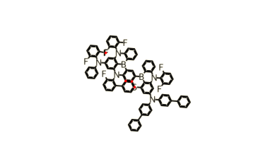 Fc1cccc(F)c1N(c1ccccc1)c1cc2c3c(c1)N(c1c(F)cccc1-c1ccccc1)c1cc4c(cc1B3c1ccccc1N2c1c(F)cccc1F)B1c2ccccc2N(c2c(F)cccc2F)c2cc(N(c3ccc(-c5ccccc5)cc3)c3ccc(-c5ccccc5)cc3)cc(c21)S4